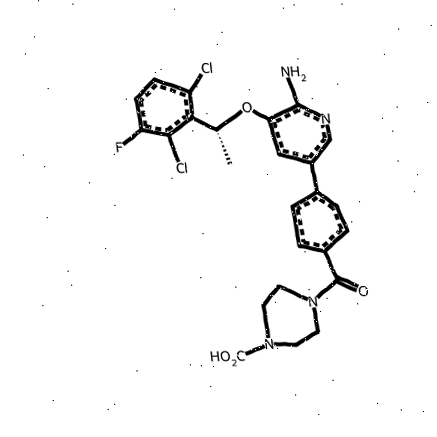 C[C@@H](Oc1cc(-c2ccc(C(=O)N3CCN(C(=O)O)CC3)cc2)cnc1N)c1c(Cl)ccc(F)c1Cl